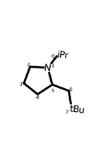 CC(C)N1CCCC1CC(C)(C)C